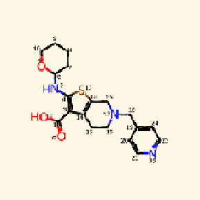 O=C(O)c1c(NC2CCCCO2)sc2c1CCN(Cc1ccncc1)C2